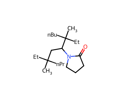 CCCCC(C)(CC)C(CC(C)(CC)CCC)N1CCCC1=O